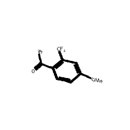 COc1ccc(C(=O)C(C)C)c(C(F)(F)F)c1